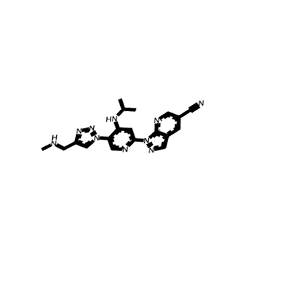 CNCc1cn(-c2cnc(-n3ncc4cc(C#N)cnc43)cc2NC(C)C)nn1